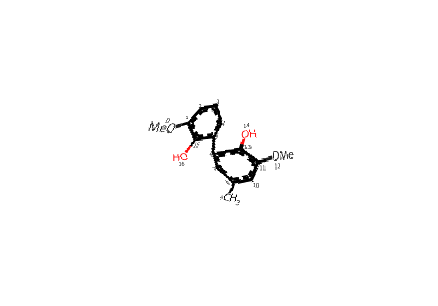 COc1cccc(-c2cc(C)cc(OC)c2O)c1O